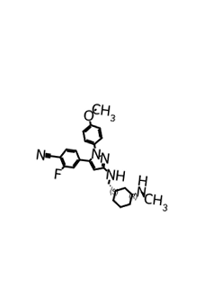 CN[C@@H]1CCC[C@H](CNc2cc(-c3ccc(C#N)c(F)c3)n(-c3ccc(OC)cc3)n2)C1